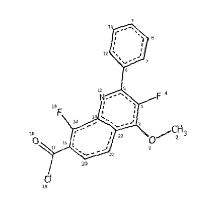 COc1c(F)c(-c2ccccc2)nc2c(F)c(C(=O)Cl)ccc12